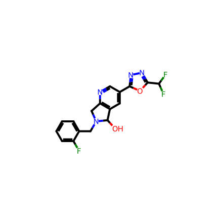 OC1c2cc(-c3nnc(C(F)F)o3)cnc2CN1Cc1ccccc1F